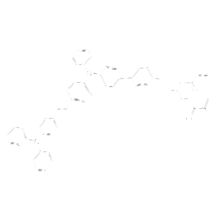 C=CC(=O)OC(COC(=O)C(=C)C)COc1ccc(-c2ccc(N(c3ccccc3)c3ccc(CCc4ccc(N(c5ccccc5)c5ccccc5)cc4)cc3)cc2)cc1